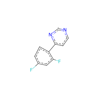 Fc1ccc(-c2ccn[c]n2)c(F)c1